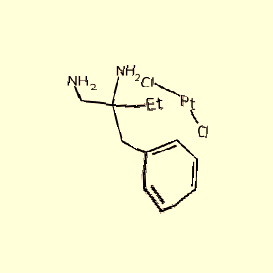 CCC(N)(CN)Cc1ccccc1.[Cl][Pt][Cl]